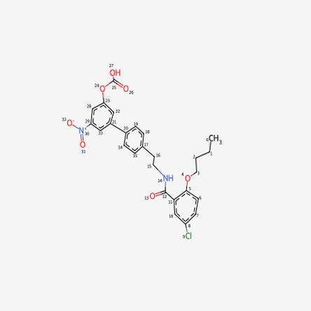 CCCCOc1ccc(Cl)cc1C(=O)NCCc1ccc(-c2cc(OC(=O)O)cc([N+](=O)[O-])c2)cc1